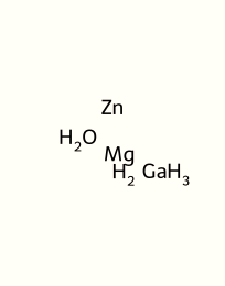 O.[GaH3].[MgH2].[Zn]